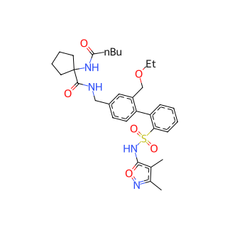 CCCCC(=O)NC1(C(=O)NCc2ccc(-c3ccccc3S(=O)(=O)Nc3onc(C)c3C)c(COCC)c2)CCCC1